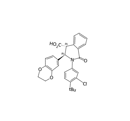 CC(C)(C)c1ccc(N2C(=O)c3ccccc3[C@@H](C(=O)O)[C@@H]2c2ccc3c(c2)OCCO3)cc1Cl